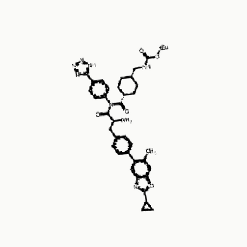 Cc1cc2oc(C3CC3)nc2cc1-c1ccc(C[C@H](N)C(=O)N(c2ccc(-c3nnn[nH]3)cc2)C(=O)[C@H]2CC[C@H](CNC(=O)OC(C)(C)C)CC2)cc1